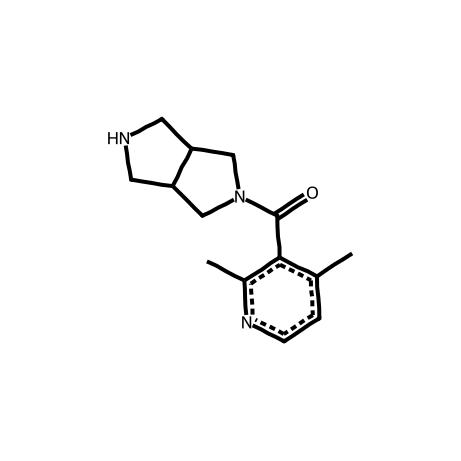 Cc1ccnc(C)c1C(=O)N1CC2CNCC2C1